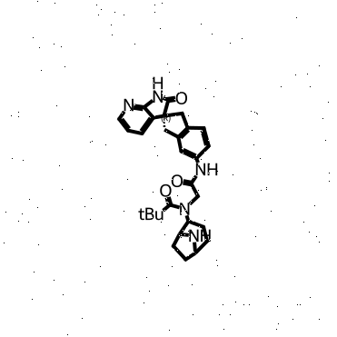 CC(C)(C)C(=O)N(CC(=O)Nc1ccc2c(c1)C[C@@]1(C2)C(=O)Nc2ncccc21)C1CCC2CCC1N2